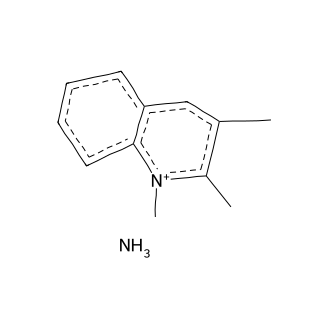 Cc1cc2ccccc2[n+](C)c1C.N